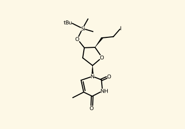 Cc1cn([C@H]2CC(O[Si](C)(C)C(C)(C)C)[C@@H](CCI)O2)c(=O)[nH]c1=O